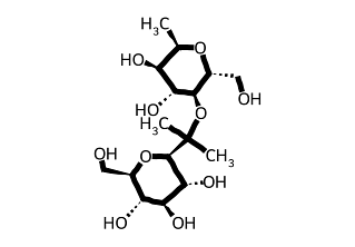 C[C@H]1O[C@H](CO)[C@@H](OC(C)(C)[C@@H]2O[C@H](CO)[C@@H](O)[C@H](O)[C@H]2O)[C@H](O)[C@H]1O